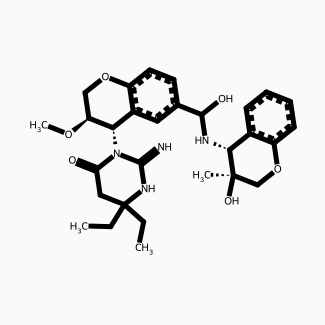 CCC1(CC)CC(=O)N([C@H]2c3cc(C(O)N[C@@H]4c5ccccc5OC[C@@]4(C)O)ccc3OC[C@@H]2OC)C(=N)N1